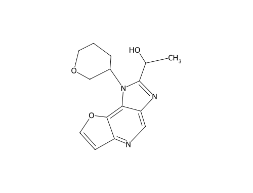 CC(O)c1nc2cnc3ccoc3c2n1C1CCCOC1